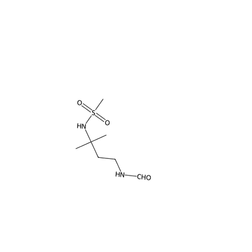 CC(C)(CCNC=O)NS(C)(=O)=O